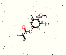 C=C(C)C(=O)Oc1cc(C)c(OC)c(I)c1